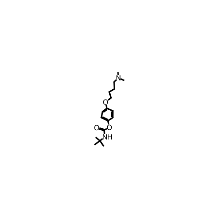 CN(C)CCCCOc1ccc(OC(=O)NC(C)(C)C)cc1